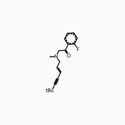 CN(CC=CC#CC(C)(C)C)CC(=O)c1ccccc1F